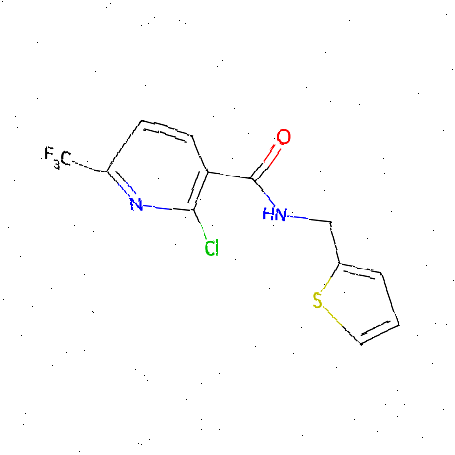 O=C(NCc1cccs1)c1ccc(C(F)(F)F)nc1Cl